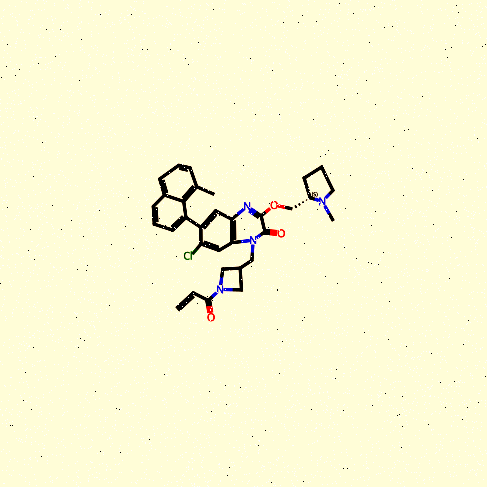 C=CC(=O)N1CC(Cn2c(=O)c(OC[C@@H]3CCCN3C)nc3cc(-c4cccc5cccc(C)c45)c(Cl)cc32)C1